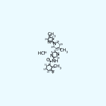 CC1=C(c2cnc(NC(=O)c3cccc(F)c3C)cn2)CN(c2ncc(C)s2)CC1.Cl